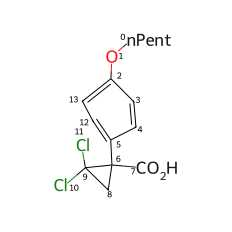 CCCCCOc1ccc(C2(C(=O)O)CC2(Cl)Cl)cc1